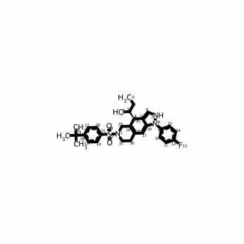 CCC(O)[C@H]1C2=CNN(c3ccc(F)cc3)C2=CC2=C1CN(S(=O)(=O)c1ccc(C(C)(C)C)cc1)CC2